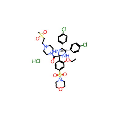 CCOc1cc(S(=O)(=O)N2CCOCC2)ccc1C1(C(=O)N2CCN(CCS(C)(=O)=O)CC2)N[C@H](c2ccc(Cl)cc2)[C@H](c2ccc(Cl)cc2)N1.Cl